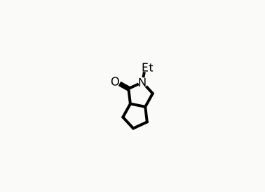 CCN1CC2CCCC2C1=O